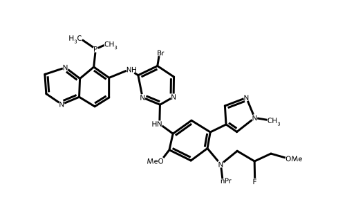 CCCN(CC(F)COC)c1cc(OC)c(Nc2ncc(Br)c(Nc3ccc4nccnc4c3P(C)C)n2)cc1-c1cnn(C)c1